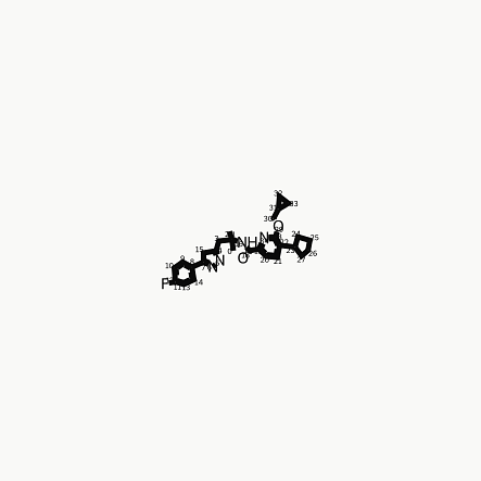 CC(C)(CC1=NN=C(c2ccc(F)cc2)C1)NC(=O)c1ccc(C2CCCC2)c(OCC2CC2)n1